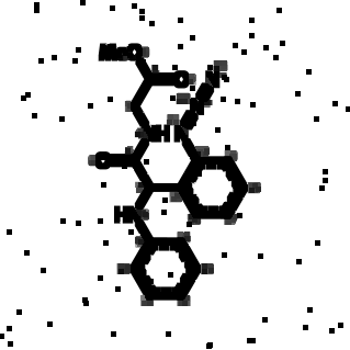 COC(=O)CNC(=O)C(Nc1ccccc1)c1ccccc1N=[N+]=[N-]